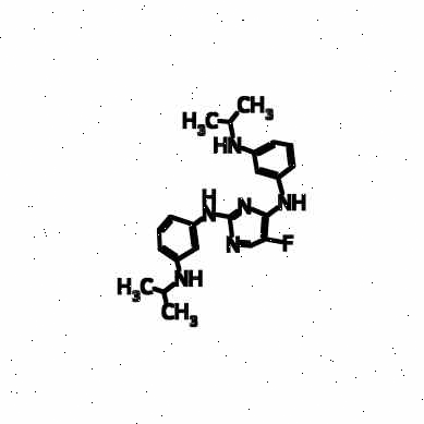 CC(C)Nc1cccc(Nc2ncc(F)c(Nc3cccc(NC(C)C)c3)n2)c1